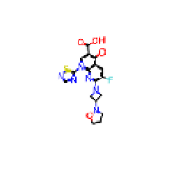 O=C(O)c1cn(-c2ncns2)c2nc(N3CC(N4CCCO4)C3)c(F)cc2c1=O